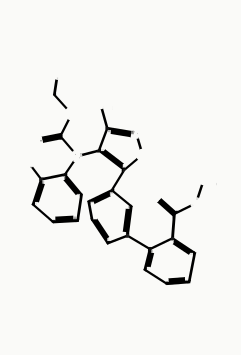 CCOC(=O)N(c1ccccc1Cl)c1c(C)noc1-c1cccc(-c2ccccc2C(=O)OC)c1